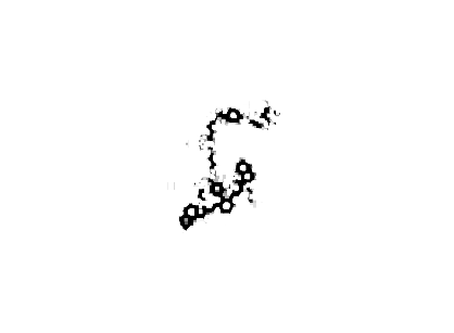 CC(C)CCN1/C(=C/C=C2\CCCC(/C=C/C3=[N+](CCC(C)S(=O)(=O)O)c4ccc5ccccc5c4C3(C)C)=C2c2ccc(C(=O)NCCCC[C@H](NC(=O)CC[C@H](NC(=O)c3ccc(NCc4cnc5nc[nH]c(=O)c5n4)cc3)C(=O)O)OC=O)cc2)C(C)(C)c2c1ccc1ccccc21